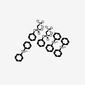 O=P([O-])([O-])CP(=O)([O-])Oc1ccccc1.O=P([O-])([O-])CP(=O)([O-])Oc1ccccc1.c1cc[c]([Sn+2][c]2ccccc2)cc1.c1cc[c]([Sn+2][c]2ccccc2)cc1.c1cc[c]([Sn+2][c]2ccccc2)cc1